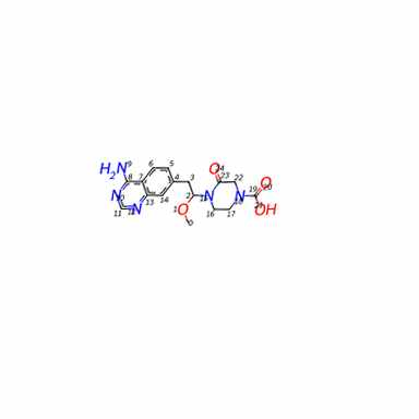 COC(Cc1ccc2c(N)ncnc2c1)N1CCN(C(=O)O)CC1=O